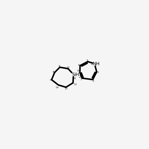 C1=CC=CNC=C1.C1CCC[SiH2]CCC1